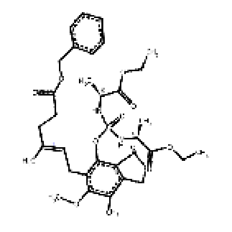 CCOC(=O)[C@H](C)NP(=O)(N[C@@H](C)C(=O)OCC)Oc1c(C/C=C(\C)CCC(=O)OCc2ccccc2)c(OC)c(C)c2c1C(=O)OC2